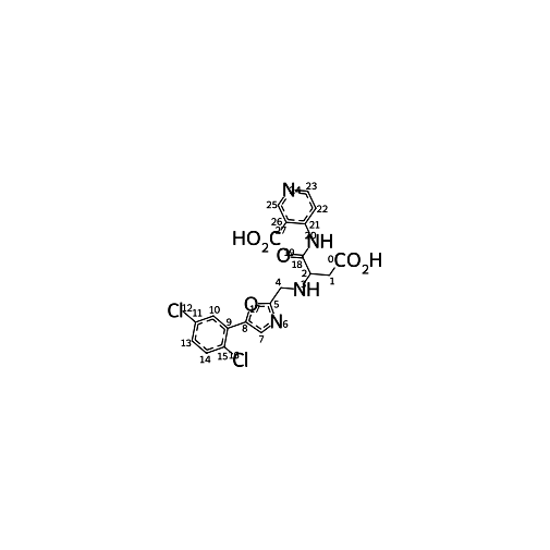 O=C(O)CC(NCc1ncc(-c2cc(Cl)ccc2Cl)o1)C(=O)Nc1ccncc1C(=O)O